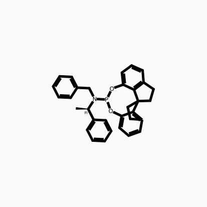 C[C@H](c1ccccc1)N(Cc1ccccc1)P1Oc2cccc3c2C2(CC3)CCc3cccc(c32)O1